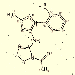 CC(=O)N1CCN=C1Nc1cc(C)nn1-c1ccccc1C